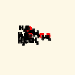 COC(CCCCOCC1CO1)(OC)O[SiH2]C(C)C